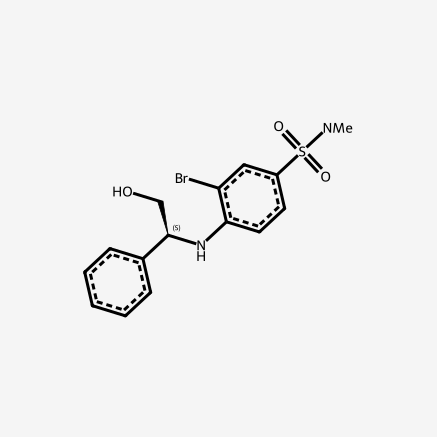 CNS(=O)(=O)c1ccc(N[C@H](CO)c2ccccc2)c(Br)c1